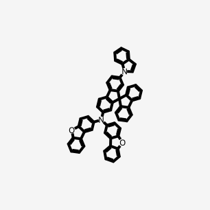 c1ccc2c(c1)-c1ccccc1C21c2cc(N(c3ccc4oc5ccccc5c4c3)c3ccc4oc5ccccc5c4c3)ccc2-c2ccc(-n3ccc4ccccc43)cc21